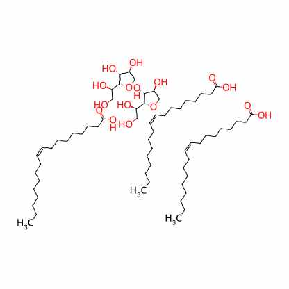 CCCCCCCC/C=C\CCCCCCCC(=O)O.CCCCCCCC/C=C\CCCCCCCC(=O)O.CCCCCCCC/C=C\CCCCCCCC(=O)O.OC[C@@H](O)[C@H]1OC[C@H](O)[C@H]1O.OC[C@@H](O)[C@H]1OC[C@H](O)[C@H]1O